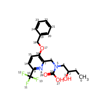 CCC(O)CN(Cc1nc(C(F)(F)F)ccc1OCc1ccccc1)C(=O)O